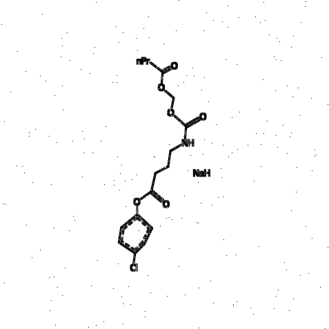 CCCC(=O)OCOC(=O)NCCCC(=O)Oc1ccc(Cl)cc1.[NaH]